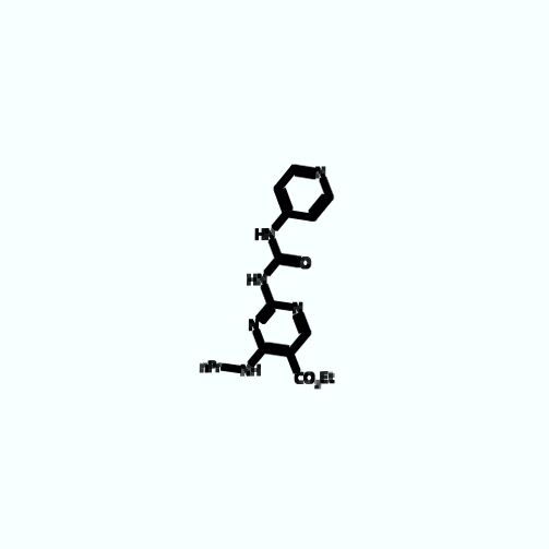 CCCNc1nc(NC(=O)Nc2ccncc2)ncc1C(=O)OCC